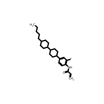 C=CC(=O)Nc1ccc(C2CCC(C3CCC(CCCCC)CC3)CC2)cc1F